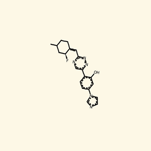 CC1CC/C(=C/c2ncc(-c3ccc(-n4ccnc4)cc3O)nn2)[C@@H](F)C1